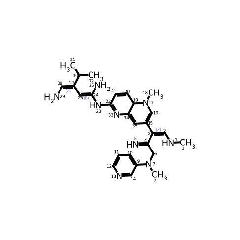 CN/C=C(\C(=N)CN(C)c1cccnc1)C1=CN(C)C2C=CC(N/C(N)=C/C(=C\N)C(C)C)=NC2=C1